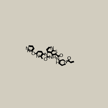 C=CC(=O)N1CCC[C@@H](NC(=O)c2sc3nccc4c3c2NC(=O)N4c2ccc(Oc3cccnn3)nc2C)C1